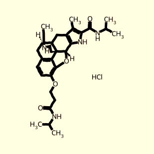 Cc1c(C(=O)NC(C)C)[nH]c2c1C[C@@H]1[C@@H]3Cc4ccc(OCCC(=O)NC(C)C)c5c4[C@@]1(CCN3C)[C@H]2O5.Cl